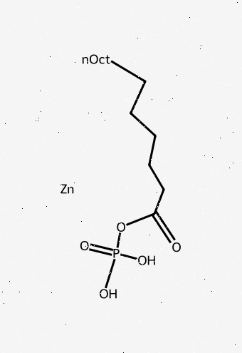 CCCCCCCCCCCCCC(=O)OP(=O)(O)O.[Zn]